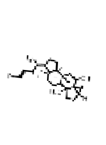 CC(C)/C=C/C[C@@H](C)[C@H]1CC[C@H]2[C@@H]3C[C@@H](O)[C@]45C[C@@H]4CC[C@]5(C)[C@H]3CC[C@]12C